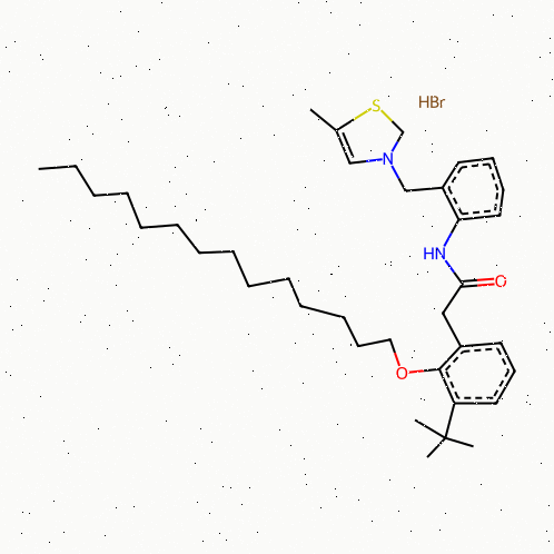 Br.CCCCCCCCCCCCCCOc1c(CC(=O)Nc2ccccc2CN2C=C(C)SC2)cccc1C(C)(C)C